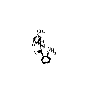 Cn1cnc(NC(=O)c2ccccc2N)c1